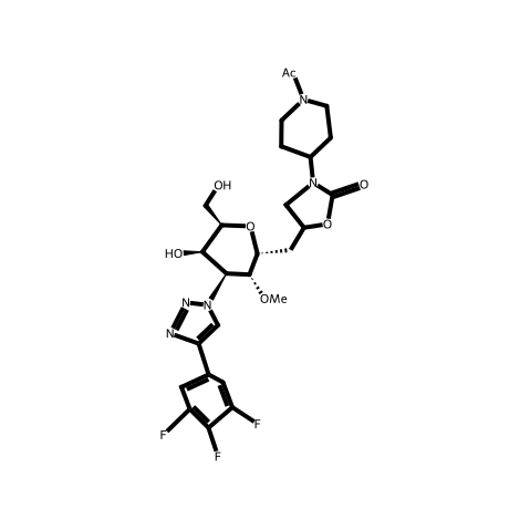 CO[C@@H]1[C@@H](n2cc(-c3cc(F)c(F)c(F)c3)nn2)[C@@H](O)[C@@H](CO)O[C@@H]1CC1CN(C2CCN(C(C)=O)CC2)C(=O)O1